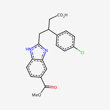 COC(=O)c1ccc2[nH]c(CC(CC(=O)O)c3ccc(Cl)cc3)nc2c1